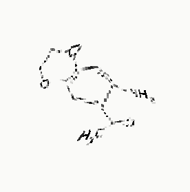 CC(=O)c1cc2c(cc1N)OCCO2